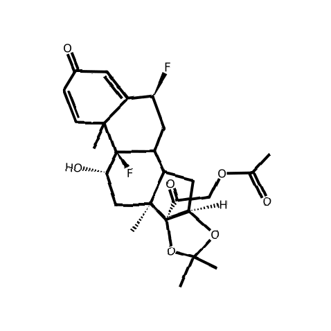 CC(=O)OCC(=O)[C@@]12OC(C)(C)O[C@@H]1CC1C3C[C@H](F)C4=CC(=O)C=CC4(C)[C@@]3(F)[C@@H](O)C[C@@]12C